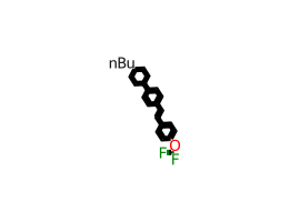 CCCCC1CCC(c2ccc(C=Cc3ccc(OC(F)F)cc3)cc2)CC1